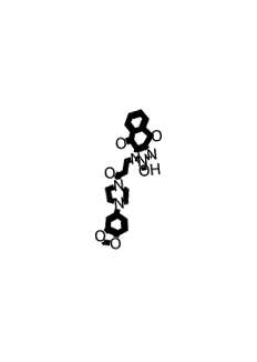 O=C1c2ccccc2C(=O)c2c1n[n+](O)n2CCC(=O)N1CCN(c2ccc3c(c2)OCO3)CC1